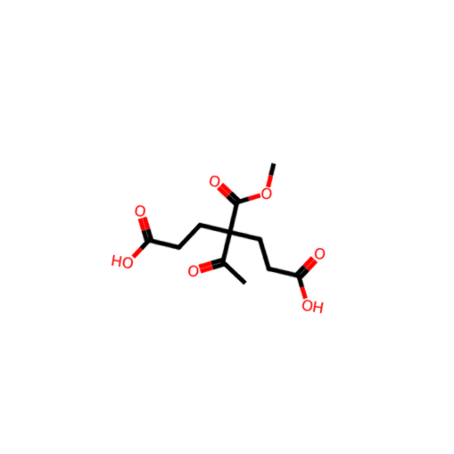 COC(=O)C(CCC(=O)O)(CCC(=O)O)C(C)=O